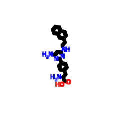 Nc1cc(NCCc2ccc3ccccc3c2)nc(-c2ccc(C[C@H](N)C(=O)O)cc2)n1